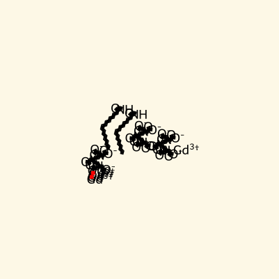 CCCCCCCC/C=C\CCCCCCCC(=O)NC.CCCCCCCC/C=C\CCCCCCCC(=O)NC.O=C([O-])CN(CCN(CC(=O)[O-])CC(=O)[O-])CCN(CC(=O)[O-])CC(=O)[O-].O=C([O-])CN(CCN(CC(=O)[O-])CC(=O)[O-])CCN(CC(=O)[O-])CC(=O)[O-].O=C([O-])CN(CCN(CC(=O)[O-])CC(=O)[O-])CCN(CC(=O)[O-])CC(=O)[O-].[Gd+3].[Gd+3].[Gd+3].[Gd+3].[Gd+3]